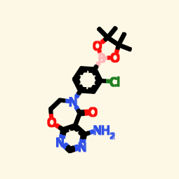 CC1(C)OB(c2ccc(N3CCOc4ncnc(N)c4C3=O)cc2Cl)OC1(C)C